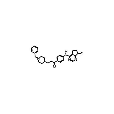 O=C(CCC1CCN(Cc2ccccc2)CC1)c1ccc(Nc2ncnc3c2CCC3F)cc1